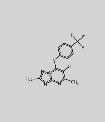 Cc1nc2nc(C)c(Cl)c(Nc3ccc(C(F)(F)F)cc3)n2n1